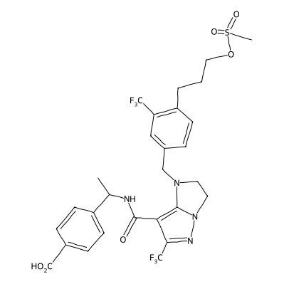 CC(NC(=O)c1c(C(F)(F)F)nn2c1N(Cc1ccc(CCCOS(C)(=O)=O)c(C(F)(F)F)c1)CC2)c1ccc(C(=O)O)cc1